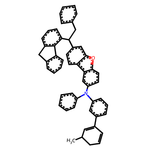 CC1C=C(c2cccc(N(c3ccccc3)c3ccc4oc5cc(C(Cc6ccccc6)c6cccc7c6-c6ccccc6C7)ccc5c4c3)c2)C=CC1